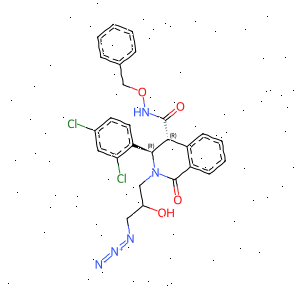 [N-]=[N+]=NCC(O)CN1C(=O)c2ccccc2[C@@H](C(=O)NOCc2ccccc2)[C@@H]1c1ccc(Cl)cc1Cl